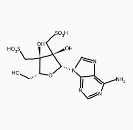 Nc1ncnc2c1ncn2[C@@H]1O[C@H](CO)[C@](O)(CS(=O)(=O)O)[C@]1(O)CS(=O)(=O)O